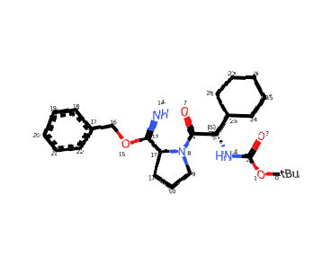 CC(C)(C)OC(=O)N[C@H](C(=O)N1CCCC1C(=N)OCc1ccccc1)C1CCCCC1